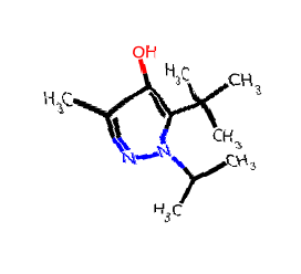 Cc1nn(C(C)C)c(C(C)(C)C)c1O